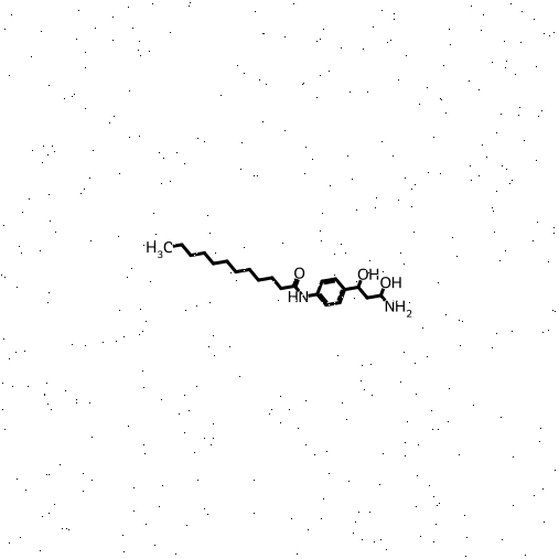 CCCCCCCCCCCC(=O)Nc1ccc(C(O)CC(N)O)cc1